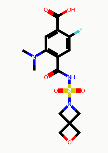 CN(C)c1cc(C(=O)O)c(F)cc1C(=O)NS(=O)(=O)N1CC2(COC2)C1